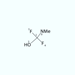 CNC(O)(F)F